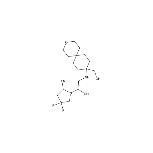 N#CC1CC(F)(F)CN1C(O)CNC1(CO)CCC2(CCOCC2)CC1